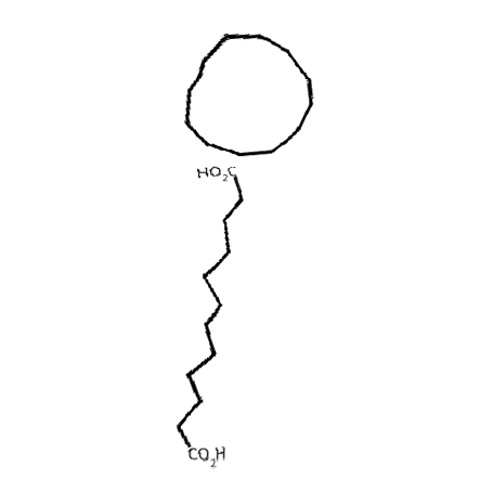 C1CCCCCCCCCCC1.O=C(O)CCCCCCCCCCC(=O)O